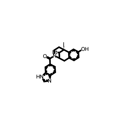 CCC1C2Cc3ccc(O)cc3[C@]1(I)CCN2C(=O)c1ccc2nc[nH]c2c1